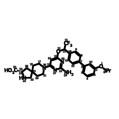 CC(C)Oc1cccc(-c2ccc(C(Oc3cc(N4CCC5(CC4)CN[C@H](C(=O)O)C5)nc(N)n3)C(F)(F)F)cc2)c1